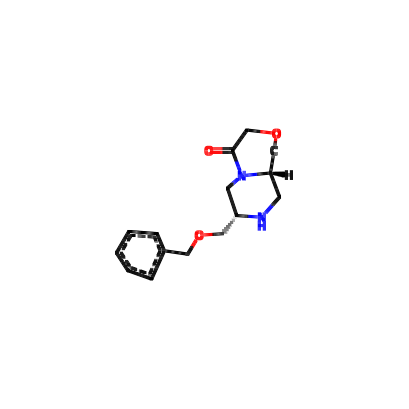 O=C1COC[C@@H]2CN[C@H](COCc3ccccc3)CN12